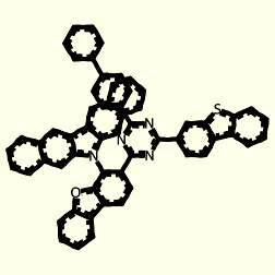 c1ccc(-c2ccc(-c3nc(-c4ccc5c(c4)sc4ccccc45)nc(-c4ccc5c(oc6ccccc65)c4-n4c5cc6ccccc6cc5c5cc6ccccc6cc54)n3)cc2)cc1